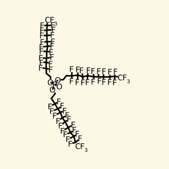 O=P(OCCC(F)(F)C(F)(F)C(F)(F)C(F)(F)C(F)(F)C(F)(F)C(F)(F)C(F)(F)C(F)(F)C(F)(F)F)(OCCC(F)(F)C(F)(F)C(F)(F)C(F)(F)C(F)(F)C(F)(F)C(F)(F)C(F)(F)C(F)(F)C(F)(F)F)OCCC(F)(F)C(F)(F)C(F)(F)C(F)(F)C(F)(F)C(F)(F)C(F)(F)C(F)(F)C(F)(F)C(F)(F)F